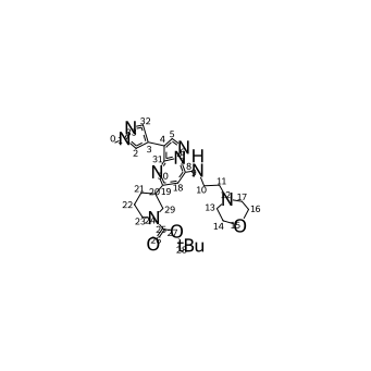 Cn1cc(-c2cnn3c(NCCN4CCOCC4)cc(C4CCCN(C(=O)OC(C)(C)C)C4)nc23)cn1